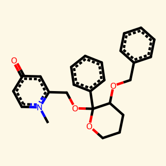 Cn1ccc(=O)cc1COC1(c2ccccc2)OCCCC1OCc1ccccc1